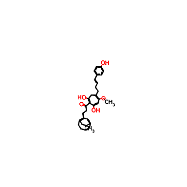 COC1=C(CCC=Cc2ccc(O)cc2)CC(O)=C(C(=O)CCC2=C3CCCCC(=C2)C(C)C3)C(O)=C1